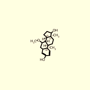 COC1CC2C=C(O)C=C[C@]2(C)[C@@H]2CC[C@]3(C)C(O)CC[C@H]3[C@H]12